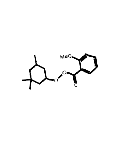 COc1ccccc1C(=O)OO[C]1CC(C)CC(C)(C)C1